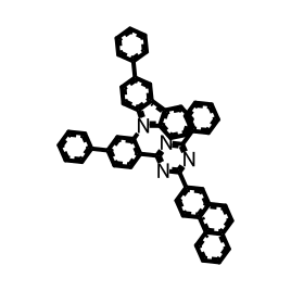 c1ccc(-c2ccc(-c3nc(-c4ccccc4)nc(-c4ccc5c(ccc6ccccc65)c4)n3)c(-n3c4ccccc4c4cc(-c5ccccc5)ccc43)c2)cc1